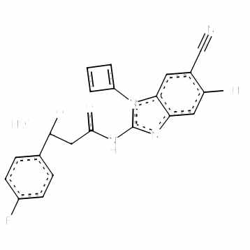 Cc1cc2nc(NC(=O)C[C@](C)(O)c3ccc(F)cc3)n(C3=CC=C3)c2cc1C#N